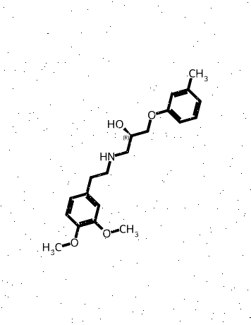 COc1ccc(CCNC[C@@H](O)COc2cccc(C)c2)cc1OC